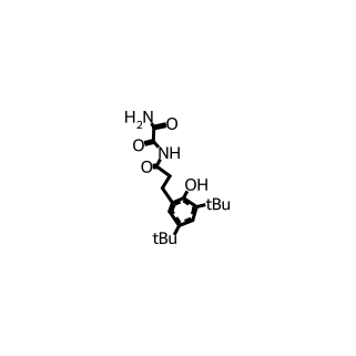 CC(C)(C)c1cc(CCC(=O)NC(=O)C(N)=O)c(O)c(C(C)(C)C)c1